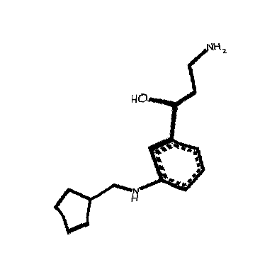 NCCC(O)c1cccc(NCC2CCCC2)c1